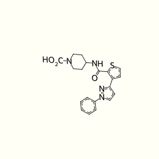 O=C(NC1CCN(C(=O)O)CC1)c1sccc1-c1ccn(-c2ccccc2)n1